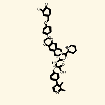 Cc1nccc(-c2ccc(C[C@H](NC(=O)[C@@H]3Cc4cc5c(cc4CN3C(=O)C3CCCCN3)O[C@@H](c3ccc(OCc4ccc(Cl)c(Cl)c4)cc3)CO5)C(=O)O)cc2)c1C